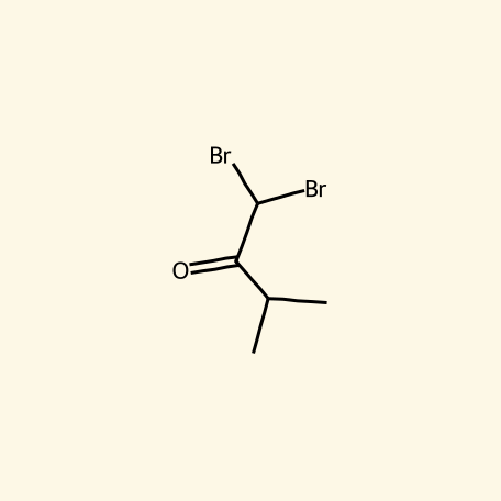 CC(C)C(=O)C(Br)Br